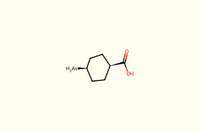 O=C(O)[C@H]1CC[C@@H]([AsH2])CC1